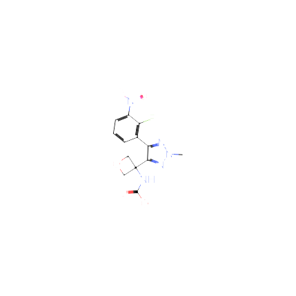 Cn1nc(-c2cccc([N+](=O)[O-])c2F)c(C2(NC(=O)O)COC2)n1